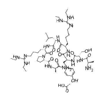 CC(=O)O.CCNC(=NCCCC[C@H](NC(=O)[C@H](CC(C)C)NC(=O)[C@@H](CCCCN=C(NCC)NCC)NC(=O)[C@H](Cc1ccc(O)cc1)NC(=O)[C@H](CO)NC(=O)[C@@H](C)N)C(=O)N1CCC[C@H]1C(=O)N[C@H](C)C(N)=O)NCC